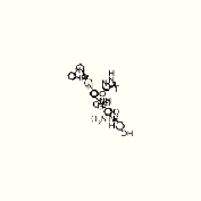 CC(C)c1ccccc1[C@H]1CCCN1C1CC2(CCN(c3ccc(C(=O)NS(=O)(=O)c4cc5c(c([N+](=O)[O-])c4)N[C@H]([C@H]4CC[C@@H](O)CC4)CO5)c(Oc4cnc5[nH]cc(F)c5c4)c3)CC2)C1